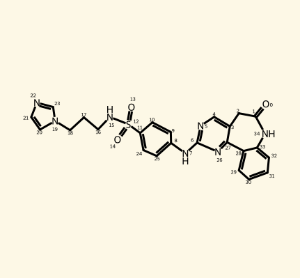 O=C1Cc2cnc(Nc3ccc(S(=O)(=O)NCCCn4ccnc4)cc3)nc2-c2ccccc2N1